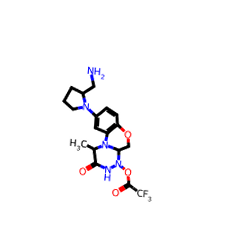 CC1C(=O)NN(OC(=O)C(F)(F)F)C2COc3ccc(N4CCCC4CN)cc3N12